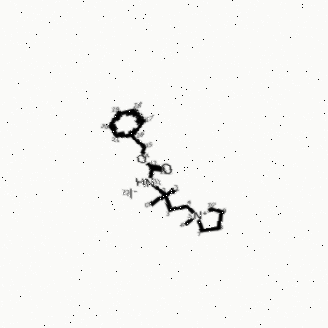 CC(C)(CC[N+]1(C)CCCC1)NC(=O)OCc1ccccc1.[I-]